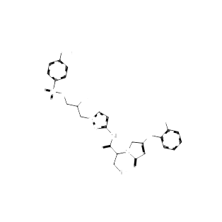 Cc1ccc(S(=O)(=O)OCC(O)Cn2ccc(NC(=O)C(CC(C)C)N3CC(Oc4ccccc4Cl)=CC3=O)n2)cc1